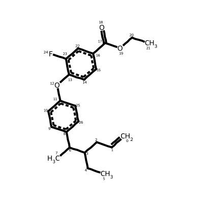 C=CCC(CC)C(C)c1ccc(Oc2ccc(C(=O)OCC)cc2F)cc1